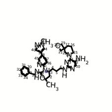 CCC/C(CCCNc1ncc(N)c(N2CCCC3(COC3)C2)n1)=[N+](\C(=O)NCc1ccccc1)c1ccc(-c2cnn(C)c2)cn1